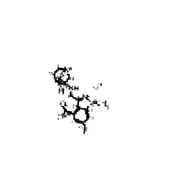 Cn1nc(CN[C@H]2CN3CCC2CC3)c2c(C(=O)[O-])cc(F)cc21.[Li+]